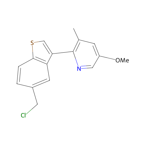 COc1cnc(-c2csc3ccc(CCl)cc23)c(C)c1